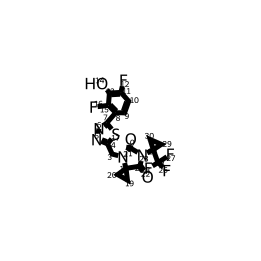 O=C1N(Cc2nnc(-c3ccc(F)c(O)c3F)s2)C2(CC2)C(=O)N1C1(C(F)(F)F)CC1